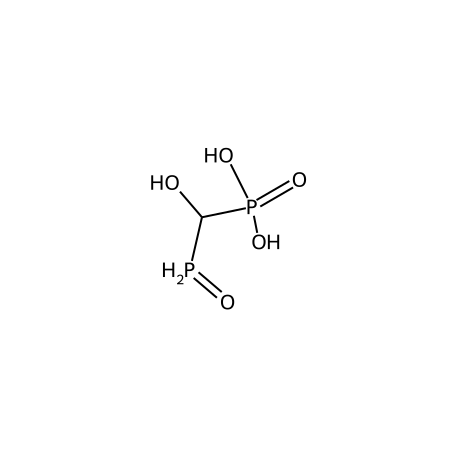 O=[PH2]C(O)P(=O)(O)O